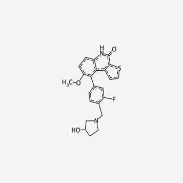 COc1ccc2[nH]c(=O)c3sccc3c2c1-c1ccc(CN2CCC(O)C2)c(F)c1